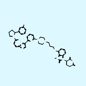 Cn1c(=O)n(C2CCC(=O)NC2=O)c2cccc(OCCCN3CCN(c4cccc(-c5cnc6ccc(N7CCCC7c7cccc(F)c7)nn56)n4)CC3)c21